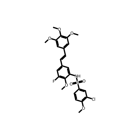 COc1ccc(S(=O)(=O)Nc2cc(C=Cc3cc(OC)c(OC)c(OC)c3)cc(F)c2OC)cc1Cl